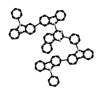 c1ccc(-n2c3ccccc3c3ccc(-c4ccc5c6ccccc6n(-c6cccc(-c7nc(-n8c9ccccc9c9ccc(-c%10ccc%11c%12ccccc%12n(-c%12ccccc%12)c%11c%10)cc98)c8ccc9ccccc9c8n7)c6)c5c4)cc32)cc1